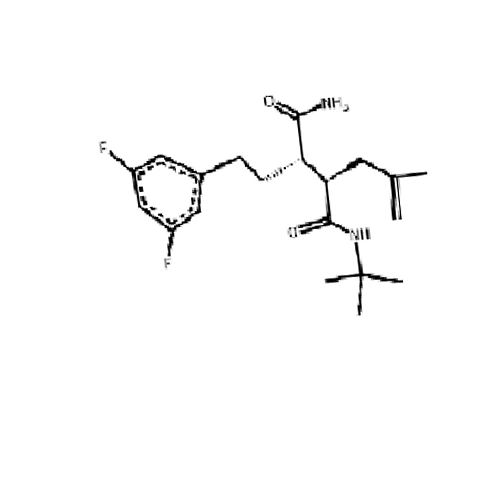 C=C(C)C[C@@H](C(=O)NC(C)(C)C)[C@H](CCc1cc(F)cc(F)c1)C(N)=O